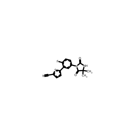 CC1(C)NC(=O)N(c2ccc(F)c(-c3ccc(C#N)s3)c2)C1=O